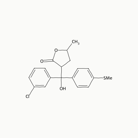 CSc1ccc(C(O)(c2cccc(Cl)c2)C2CC(C)OC2=O)cc1